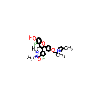 CNC(=O)c1cc(C2=C(C)c3c(ccc(O)c3F)OC2c2ccc(OC[C@H](C)N3CC[C@@H](C)C3)cc2)ccc1F